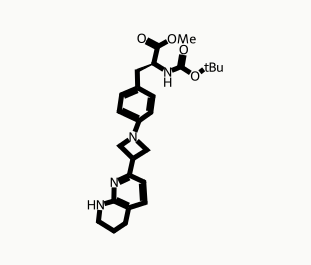 COC(=O)[C@H](Cc1ccc(N2CC(c3ccc4c(n3)NCCC4)C2)cc1)NC(=O)OC(C)(C)C